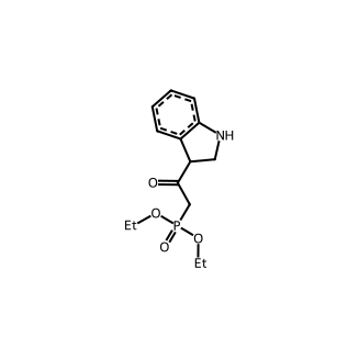 CCOP(=O)(CC(=O)C1CNc2ccccc21)OCC